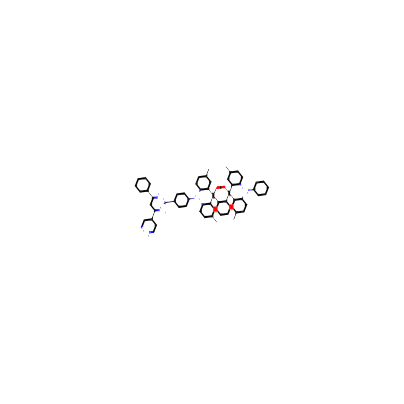 Cc1ccc2c(c1)C1(c3cc(C)ccc3N2c2ccccc2)c2ccccc2C2(c3cc(C)ccc3N(c3ccc(-c4nc(-c5ccccc5)cc(-c5ccncc5)n4)cc3)c3ccc(C)cc32)c2ccccc21